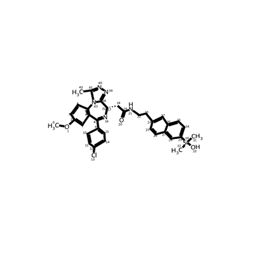 COc1ccc2c(c1)C(c1ccc(Cl)cc1)=N[C@@H](CC(=O)NCCc1ccc3cc([Si](C)(C)O)ccc3c1)c1nnc(C)n1-2